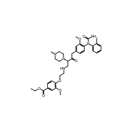 CCOC(=O)c1ccc(OCCNCC(C(=O)Cc2ccc(N(C(N)=O)c3ccccc3C)c(OC)c2)N2CCN(C)CC2)c(OC)c1